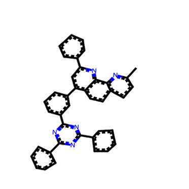 Cc1ccc2ccc3c(-c4cccc(-c5nc(-c6ccccc6)nc(-c6ccccc6)n5)c4)cc(-c4ccccc4)nc3c2n1